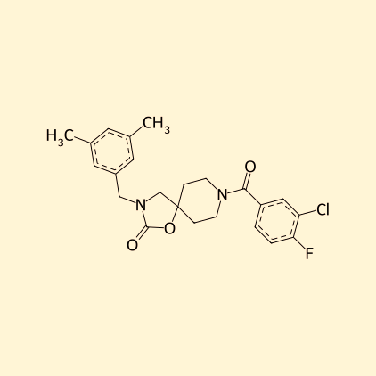 Cc1cc(C)cc(CN2CC3(CCN(C(=O)c4ccc(F)c(Cl)c4)CC3)OC2=O)c1